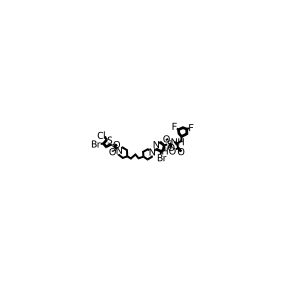 O=C(O)C(Cc1cc(F)cc(F)c1)NS(=O)(=O)c1cnc(N2CCC(CCCC3CCN(S(=O)(=O)c4cc(Br)c(Cl)s4)CC3)CC2)c(Br)c1